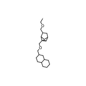 CCOCC1CC2C=C(COCC3CCC4CCCCC4C3)C1C2